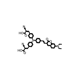 CCN(CC)c1ccc2cc(/C=C/c3ccc(N(c4ccc(/C=C(/C#N)C(=O)O)cc4)c4ccc(/C=C(\C#N)C(=O)O)cc4)cc3)c(=O)oc2c1